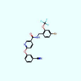 N#Cc1cccc(Oc2ccc(C(=O)NCc3ccc(Br)cc3OC(F)(F)F)cn2)c1